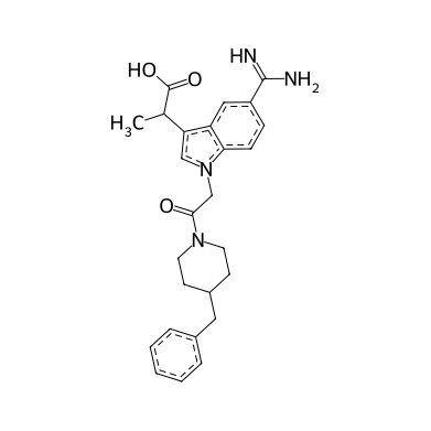 CC(C(=O)O)c1cn(CC(=O)N2CCC(Cc3ccccc3)CC2)c2ccc(C(=N)N)cc12